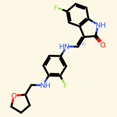 O=C1Nc2ccc(F)cc2/C1=C\Nc1ccc(NCC2CCCO2)c(F)c1